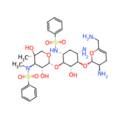 CN([C@@H]1[C@@H](O)[C@@H](O[C@@H]2[C@@H](O)[C@H](O[C@H]3OC(CN)=CC[C@H]3N)[C@@H](N)C[C@H]2NS(=O)(=O)c2ccccc2)OC[C@]1(C)O)S(=O)(=O)c1ccccc1